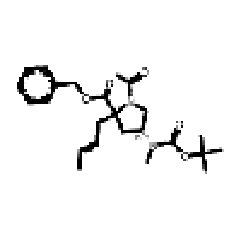 CC=CCC1(C(=O)OCc2ccccc2)C[C@@H](N(C)C(=O)OC(C)(C)C)CN1C(C)=O